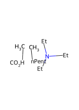 CC(=O)O.CCCCCC.CCN(CC)CC